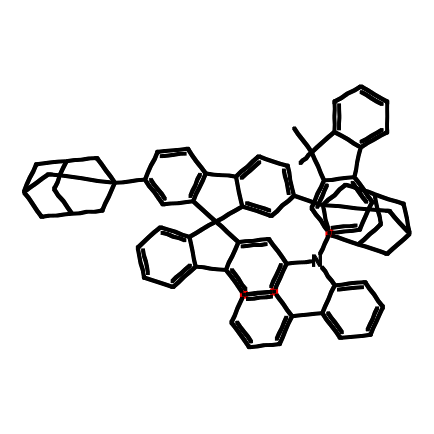 CC1(C)c2ccccc2-c2ccc(N(c3ccc4c(c3)C3(c5ccccc5-4)c4cc(C56CC7CC(CC(C7)C5)C6)ccc4-c4ccc(C56CC7CC(CC(C7)C5)C6)cc43)c3ccccc3-c3ccccc3)cc21